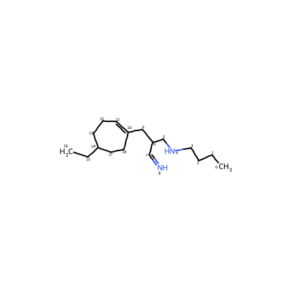 CCCCNCC(C=N)CC1=CCCC(CC)CC1